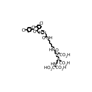 O=C(O)CN(CCNC(C(=O)O)C(=O)O)CCN(CC(=O)O)CC(=O)NCCCCCCNC(=O)CN1C=CN(CC(OCc2ccc(Cl)cc2)c2ccc(Cl)cc2Cl)C1